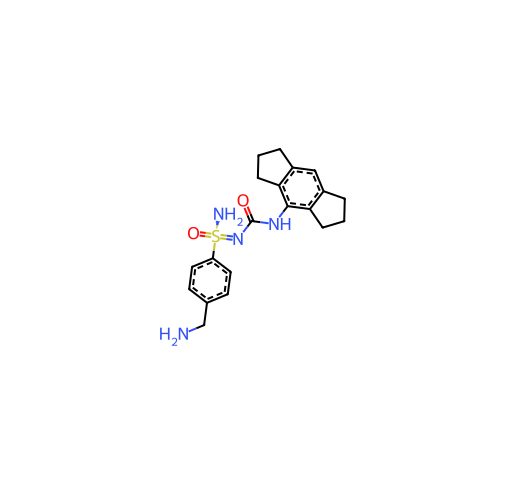 NCc1ccc([S@](N)(=O)=NC(=O)Nc2c3c(cc4c2CCC4)CCC3)cc1